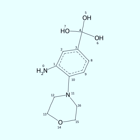 Nc1cc(C(O)(O)O)ccc1N1CCOCC1